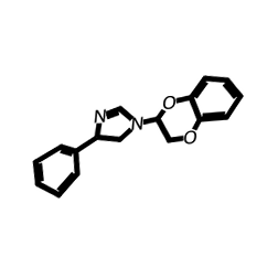 C1=NC(c2ccccc2)CN1C1COc2ccccc2O1